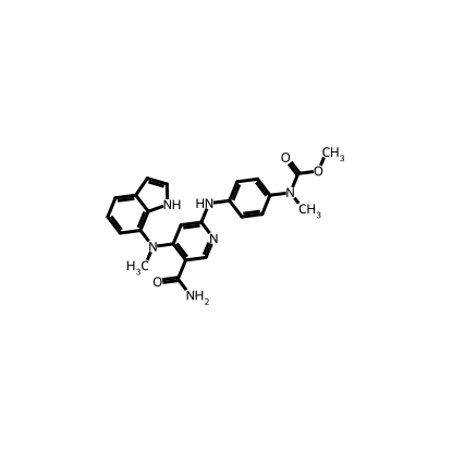 COC(=O)N(C)c1ccc(Nc2cc(N(C)c3cccc4cc[nH]c34)c(C(N)=O)cn2)cc1